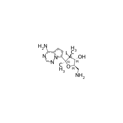 C[C@@]1(c2ccc3c(N)ncnn23)O[C@H](CN)[C@@H](O)[C@@]1(C)I